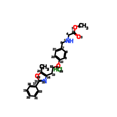 COC(=O)CNCc1ccc(OCCc2nc(-c3ccccc3)oc2C)cc1.Cl